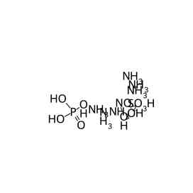 N.N.N.N.N.N.O=P(O)(O)O.O=S(=O)(O)O.O=[N+]([O-])O